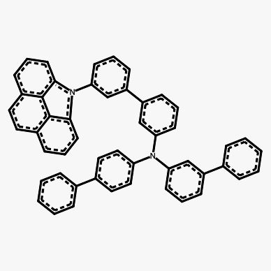 c1ccc(-c2ccc(N(c3cccc(-c4ccccc4)c3)c3cccc(-c4cccc(-n5c6cccc7ccc8cccc5c8c76)c4)c3)cc2)cc1